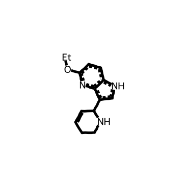 CCOc1ccc2[nH]cc(C3C=CCCN3)c2n1